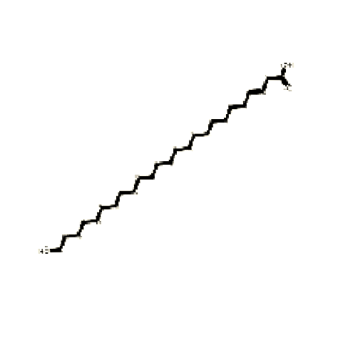 O=C(O)CC=CCCCCCCCCCCCCCCCCCCCCCO